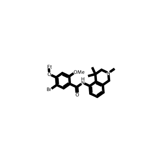 CCOc1cc(OC)c(C(=O)Nc2cccc3c2C(C)(C)CN(C)C3)cc1Br